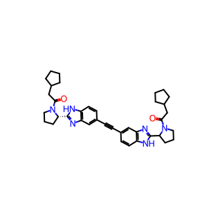 O=C(CC1CCCC1)N1CCCC1c1nc2cc(C#Cc3ccc4[nH]c([C@@H]5CCCN5C(=O)CC5CCCC5)nc4c3)ccc2[nH]1